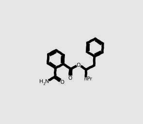 CCCC(Cc1ccccc1)OC(=O)c1ccccc1C(N)=O